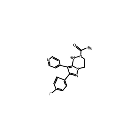 CC(C)(C)C(=O)N1CCn2nc(-c3ccc(F)cc3)c(-c3ccncc3)c2N1